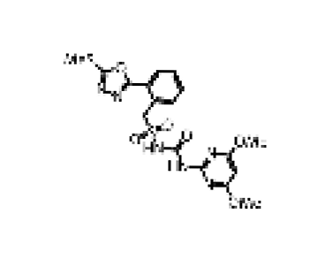 COc1cc(OC)nc(NC(=O)NS(=O)(=O)Cc2ccccc2-c2nnc(SC)o2)n1